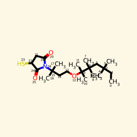 CCC(C)(C)CC(C)(C)C(C)(C)OCCC(C)(C)N1C(=O)CC(S)C1=O